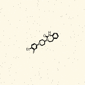 CCc1ccc(N2CCC(N3CCc4ccccc4NC3=O)CC2)cc1F